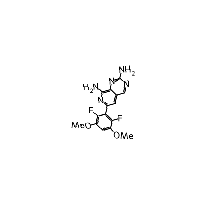 COc1cc(OC)c(F)c(-c2cc3cnc(N)nc3c(N)n2)c1F